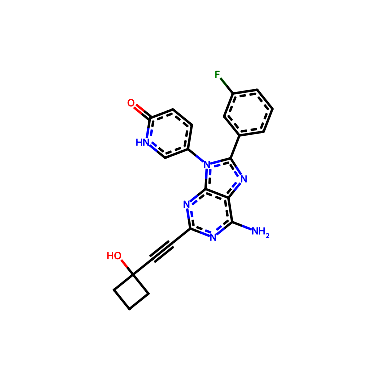 Nc1nc(C#CC2(O)CCC2)nc2c1nc(-c1cccc(F)c1)n2-c1ccc(=O)[nH]c1